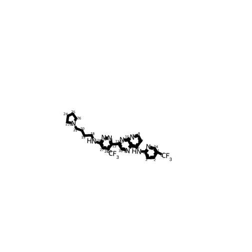 FC(F)(F)c1ccc(Nc2ccnc3nc(-c4nnc(NCCCCN5CCCC5)cc4C(F)(F)F)cnc23)nc1